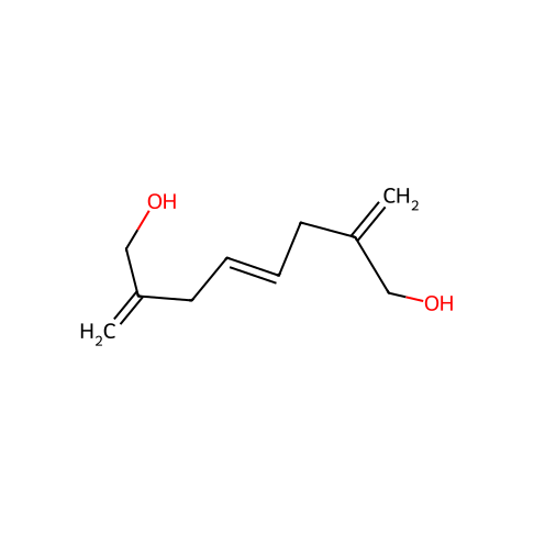 C=C(CO)CC=CCC(=C)CO